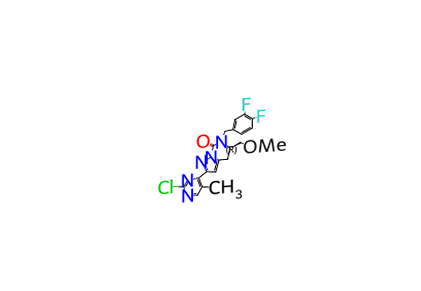 COC[C@H]1Cc2cc(-c3nc(Cl)ncc3C)nn2C(=O)N1Cc1ccc(F)c(F)c1